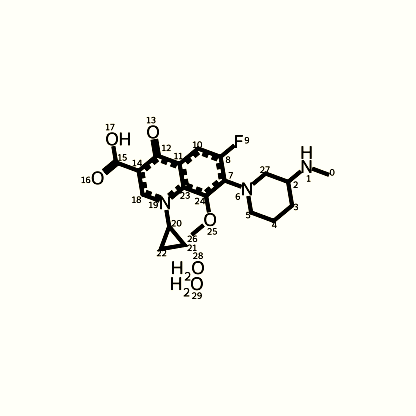 CNC1CCCN(c2c(F)cc3c(=O)c(C(=O)O)cn(C4CC4)c3c2OC)C1.O.O